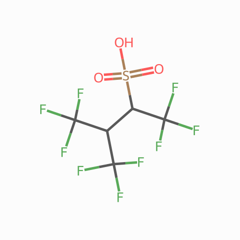 O=S(=O)(O)C(C(C(F)(F)F)C(F)(F)F)C(F)(F)F